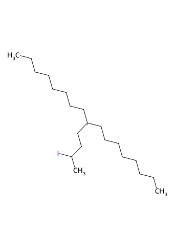 CCCCCCCC[C](CCCCCCCC)CCC(C)I